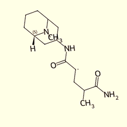 CC(C[CH]C(=O)NC1CC2CCC[C@@H](C1)N2C)C(N)=O